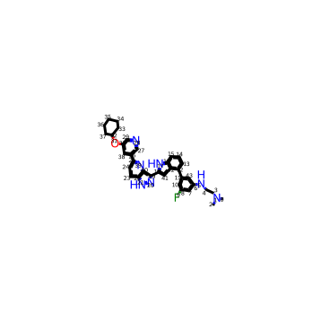 CN(C)CCNc1cc(F)cc(-c2cccc3[nH]c(-c4n[nH]c5ccc(-c6cncc(OC7CCCCC7)c6)nc45)cc23)c1